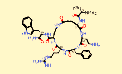 CCCC[C@H](NC(C)=O)C(=O)N[C@H]1CCC(=O)NCCC(C(=O)N[C@@H](Cc2c[nH]c3ccccc23)C(N)=O)NC(=O)[C@H](CCCNC(=N)N)NC(=O)[C@@H](Cc2ccccc2)NC(=O)[C@H](CCN)NC1=O